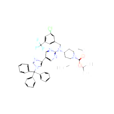 CC[C@@H]1C[C@@H](N(Cc2cc(Cl)cc(C(F)(F)F)c2)c2ncc(-c3cn(C(c4ccccc4)(c4ccccc4)c4ccccc4)cn3)cn2)C[C@H](CC)N1C(=O)OC(C)C